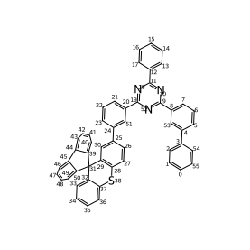 c1ccc(-c2cccc(-c3nc(-c4ccccc4)nc(-c4cccc(-c5ccc6c(c5)C5(c7ccccc7S6)c6ccccc6-c6ccccc65)c4)n3)c2)cc1